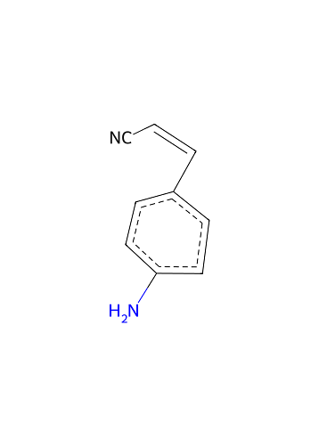 N#C/C=C\c1ccc(N)cc1